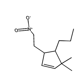 CCCC1C(CC[N+](=O)[O-])C=CC1(C)C